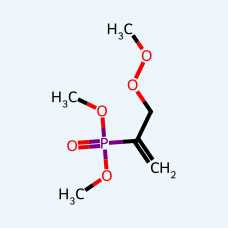 C=C(COOC)P(=O)(OC)OC